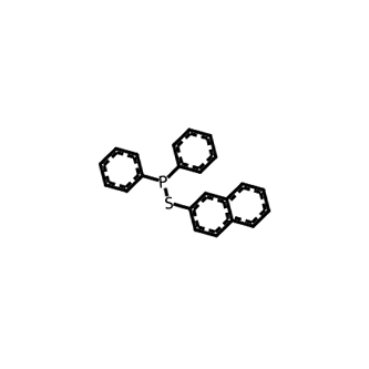 c1ccc(P(Sc2ccc3ccccc3c2)c2ccccc2)cc1